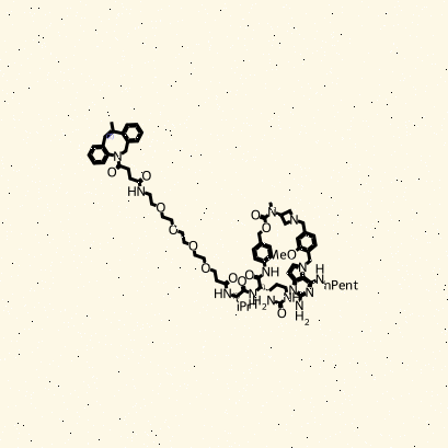 CCCCCNc1nc(N)nc2ccn(Cc3ccc(CN4CC(N(C)C(=O)OCc5ccc(NC(=O)[C@H](CCCNC(N)=O)NC(=O)[C@@H](NC(=O)CCOCCOCCOCCOCCNC(=O)CCC(=O)N6Cc7ccccc7/C(C)=C\c7ccccc76)C(C)C)cc5)C4)cc3OC)c12